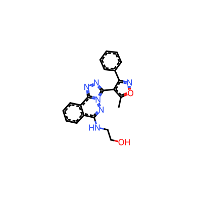 Cc1onc(-c2ccccc2)c1-c1nnc2c3ccccc3c(NCCO)nn12